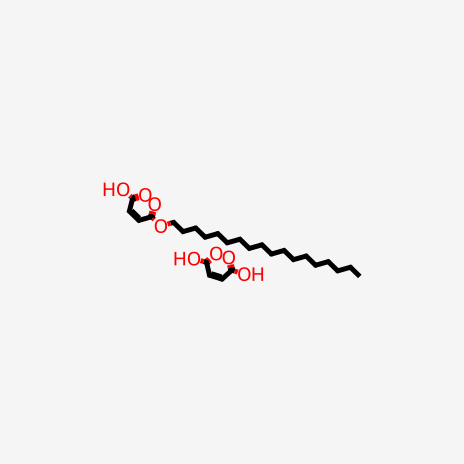 CCCCCCCCCCCCCCCCCCOC(=O)/C=C\C(=O)O.O=C(O)/C=C\C(=O)O